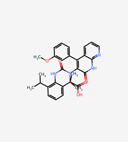 COc1cccc(-c2c(N(CC(=O)O)C(=O)Nc3c(C(C)C)cccc3C(C)C)c(=O)[nH]c3ncccc23)c1